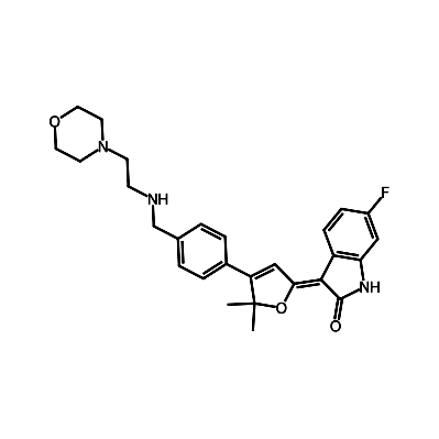 CC1(C)OC(=C2C(=O)Nc3cc(F)ccc32)C=C1c1ccc(CNCCN2CCOCC2)cc1